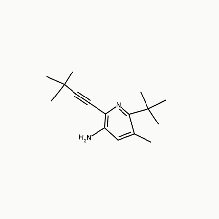 Cc1cc(N)c(C#CC(C)(C)C)nc1C(C)(C)C